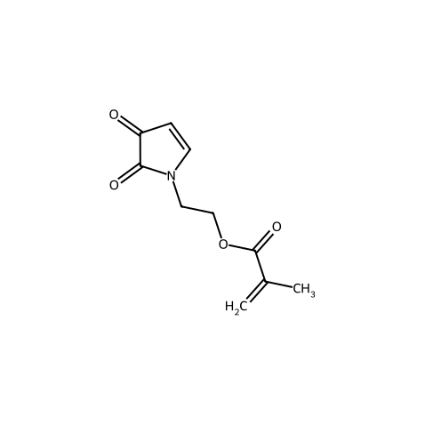 C=C(C)C(=O)OCCN1C=CC(=O)C1=O